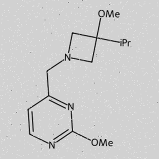 COc1nccc(CN2CC(OC)(C(C)C)C2)n1